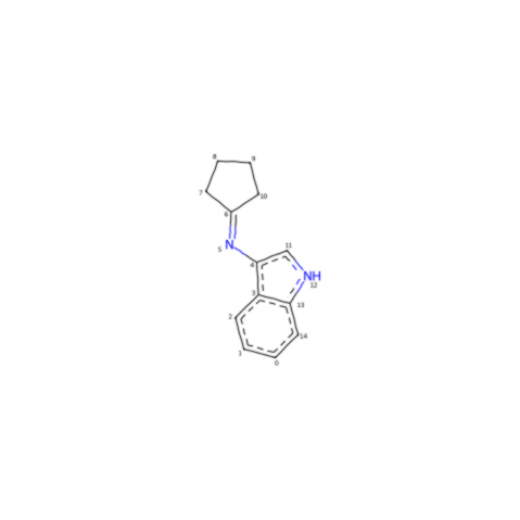 c1ccc2c(N=C3CCCC3)c[nH]c2c1